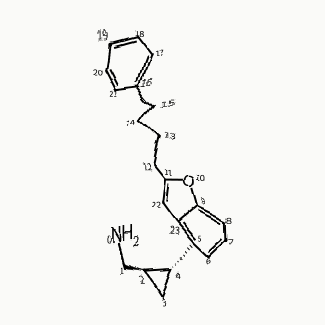 NC[C@@H]1C[C@H]1c1cccc2oc(CCCCc3ccccc3)cc12